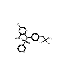 COc1nc(C)cnc1N(c1ccc(CC(C)(C)O)cc1)S(=O)(=O)c1cccnc1